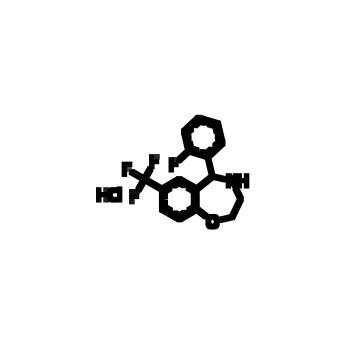 Cl.Fc1ccccc1C1NCCOc2ccc(C(F)(F)F)cc21